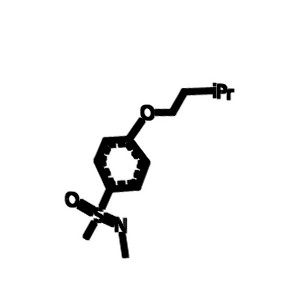 CN=S(C)(=O)c1ccc(OCCC(C)C)cc1